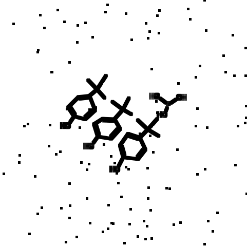 CC(C)(C)c1ccc(O)cc1.CC(C)(C)c1ccc(O)cc1.CC(C)(C)c1ccc(O)cc1.OP(O)O